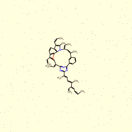 C=CC(=C\C=C/C)/C(C)=C/C=C(\C)c1nc2nc(n1)c1cccc(c1)c(C)c/c(=C\C)n1c(C)c(/C=C\C)c3ccc4c(C=C)c(oc4c31)/c2=C\C